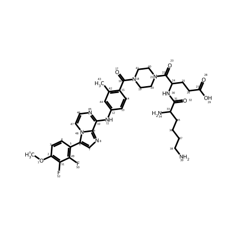 COc1ccc(-c2cnc3c(Nc4ccc(C(=O)N5CCN(C(=O)C(CCC(=O)O)NC(=O)C(N)CCCCN)CC5)c(C)c4)nccn23)c(F)c1F